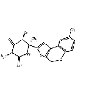 C[C@@H]1C(=O)N(C)C(=N)N[C@]1(C)c1cc2c(s1)COc1ccc(C#N)cc1-2